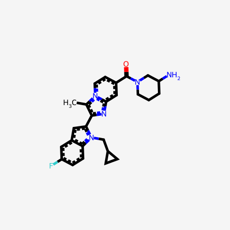 Cc1c(-c2cc3cc(F)ccc3n2CC2CC2)nc2cc(C(=O)N3CCCC(N)C3)ccn12